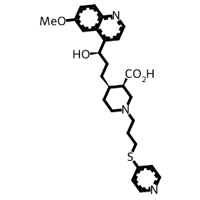 COc1ccc2nccc([C@H](O)CC[C@@H]3CCN(CCCSc4ccncc4)C[C@@H]3C(=O)O)c2c1